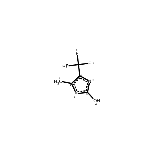 Cc1sc(O)nc1C(F)(F)F